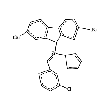 CC(C)(C)c1ccc2c(c1)[CH]([Zr](=[CH]c1cccc(Cl)c1)[CH]1C=CC=C1)c1cc(C(C)(C)C)ccc1-2